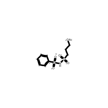 CC(=O)OCCCS(=O)(=O)NS(=O)(=O)c1ccccc1